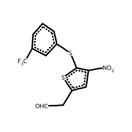 O=CCc1cc([N+](=O)[O-])c(Sc2cccc(C(F)(F)F)c2)s1